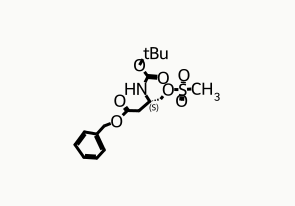 CC(C)(C)OC(=O)N[C@H](COS(C)(=O)=O)CC(=O)OCc1ccccc1